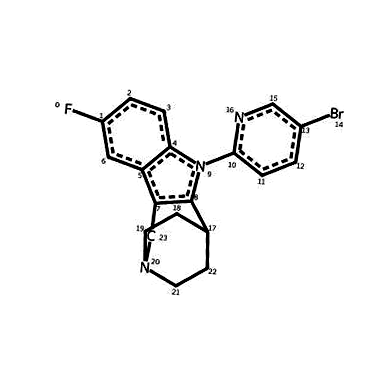 Fc1ccc2c(c1)c1c(n2-c2ccc(Br)cn2)C2CCN(CC2)C1